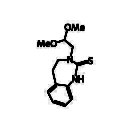 COC(CN1CCc2ccccc2NC1=S)OC